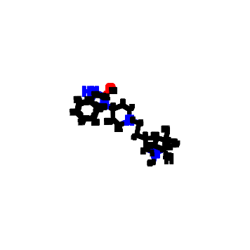 CN1CC(CCN2CCC(n3c(=O)[nH]c4ccccc43)CC2)C2C[C@H]1C2(C)C